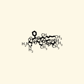 CCCCCC[C@@H](O[C@H](C)CNC(=O)[C@@H](C)[C@H](C)O)[C@@H](C)C(=O)N(C)[C@@H](CC(C)C)C(=O)N[C@H](C(=O)N[C@@H](CN)C(N)=O)C1CCCCC1